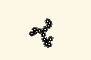 c1ccc(-n2c3cc(-c4ccc(N(c5ccc(-c6ccc7ccc8ccccc8c7c6)cc5)c5ccc(-c6cccc7c6oc6ccccc67)cc5)cc4)ccc3c3ccc4ccccc4c32)cc1